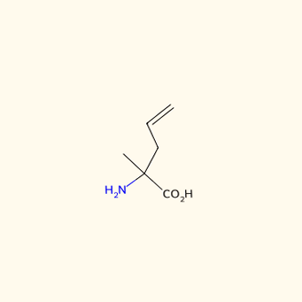 C=CCC(C)(N)C(=O)O